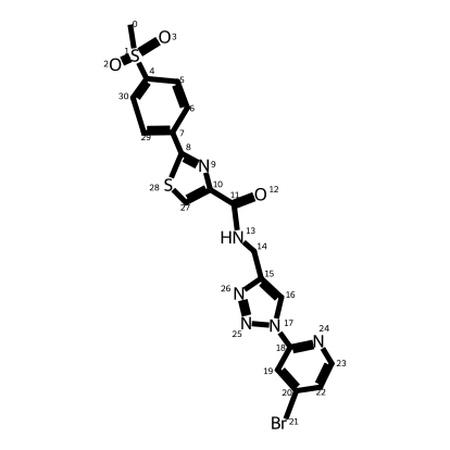 CS(=O)(=O)c1ccc(-c2nc(C(=O)NCc3cn(-c4cc(Br)ccn4)nn3)cs2)cc1